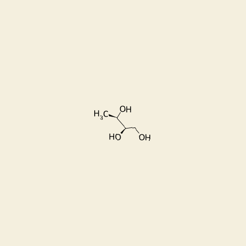 C[C@@H](O)[C@H](O)CO